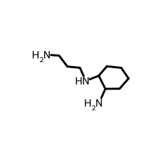 NCCCNC1CCCCC1N